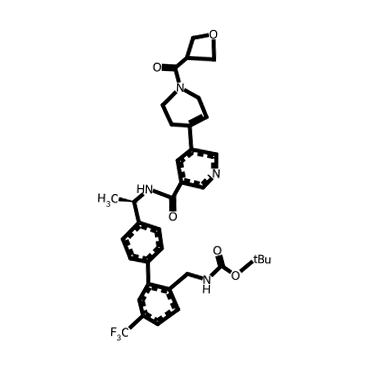 C[C@@H](NC(=O)c1cncc(C2=CCN(C(=O)C3COC3)CC2)c1)c1ccc(-c2cc(C(F)(F)F)ccc2CNC(=O)OC(C)(C)C)cc1